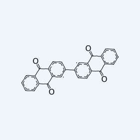 O=C1c2[c]c(-c3[c]c4c(cc3)C(=O)c3ccccc3C4=O)ccc2C(=O)c2ccccc21